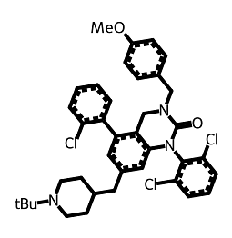 COc1ccc(CN2Cc3c(-c4ccccc4Cl)cc(CC4CCN(C(C)(C)C)CC4)cc3N(c3c(Cl)cccc3Cl)C2=O)cc1